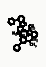 Cc1ccc2c(oc3cccc(-c4ccccc4)c32)c1-c1n(-c2c(C(C)C)cc(-c3ccccc3)cc2C(C)C)c2ccccc2[n+]1C